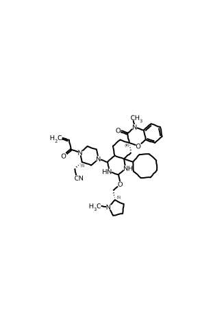 C=CC(=O)N1CCN(C2NC(OC[C@@H]3CCCN3C)NC3(C4CCCCCCC4)C[C@@]4(CCC23)Oc2ccccc2N(C)C4=O)C[C@@H]1CC#N